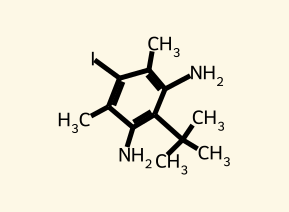 Cc1c(N)c(C(C)(C)C)c(N)c(C)c1I